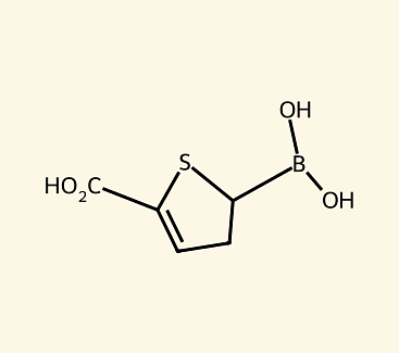 O=C(O)C1=CCC(B(O)O)S1